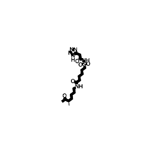 CC(=O)[C@@H](C)CCCCNC(=O)CCCCCS(=O)(=O)NC(=O)Cc1nnn[nH]1